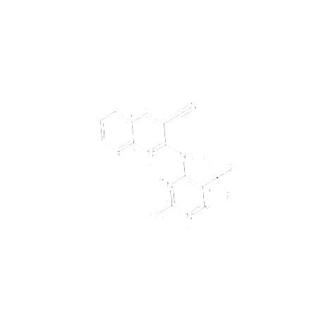 N#Cc1cc2ccccc2nc1Nc1nc(Cl)ncc1C(F)(F)F